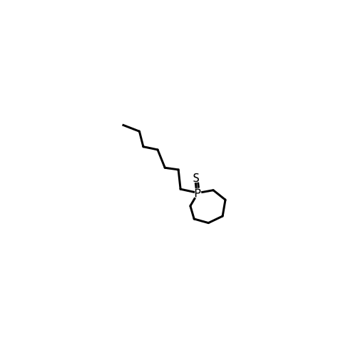 CCCCCCCP1(=S)CCCCCC1